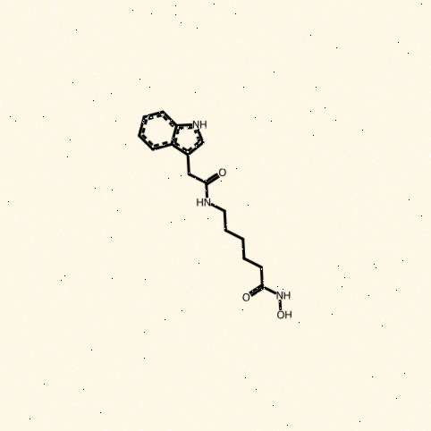 O=C(CCCCCNC(=O)Cc1c[nH]c2ccccc12)NO